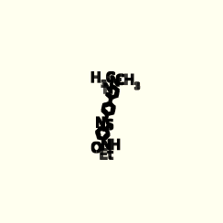 CCC(=O)Nc1ccc2nc(-c3ccc(-c4ccc(N(C)C)nc4)cc3)sc2c1